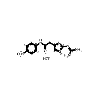 Cl.NC(N)=Nc1nc(CC(=O)Nc2ccc([N+](=O)[O-])cc2)cs1